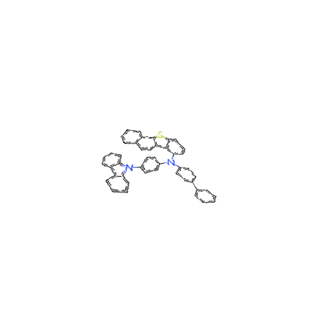 c1ccc(-c2ccc(N(c3ccc(-n4c5ccccc5c5ccccc54)cc3)c3cccc4sc5c6ccccc6ccc5c34)cc2)cc1